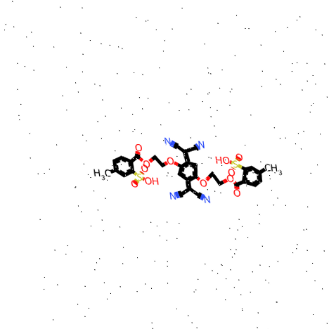 Cc1ccc(C(=O)OCCOc2cc(=C(C#N)C#N)c(OCCOC(=O)c3ccc(C)cc3S(=O)(=O)O)cc2=C(C#N)C#N)c(S(=O)(=O)O)c1